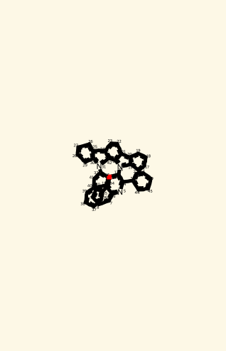 c1ccc(-c2nc3ccccc3nc2-n2c3ccccc3c3ccc4c5ccccc5n(-c5ccc6ccccc6c5)c4c32)cc1